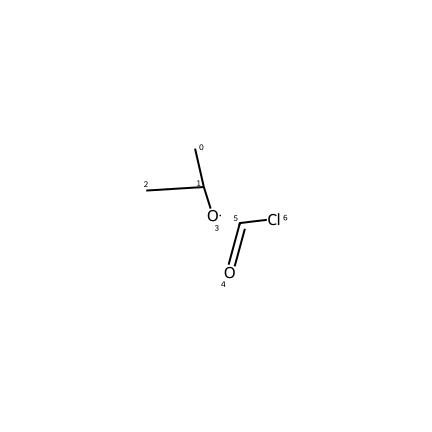 CC(C)[O].O=CCl